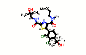 CCN(CCOC)C(=O)c1nc(C(=O)NCC(C)(C)O)sc1-c1ccc(C(O)(C(F)(F)F)C(F)(F)F)c(Cl)c1Cl